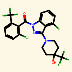 O=C(c1c(Cl)cccc1C(F)(F)F)n1nc(N2CCC(O)(C(F)(F)F)CC2)c2c(F)cccc21